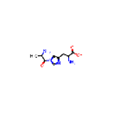 CC(N)C(=O)n1cnc(C[C@H](N)C(=O)O)c1